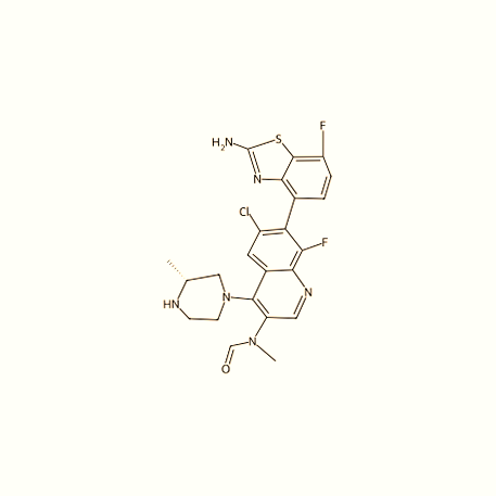 C[C@@H]1CN(c2c(N(C)C=O)cnc3c(F)c(-c4ccc(F)c5sc(N)nc45)c(Cl)cc23)CCN1